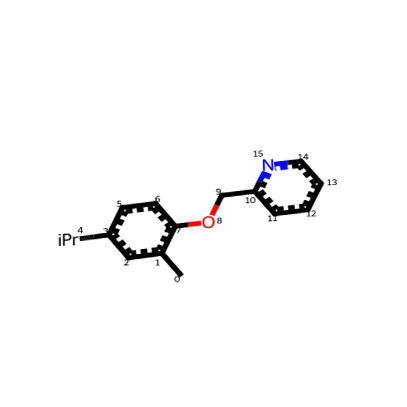 Cc1cc(C(C)C)ccc1OCc1ccccn1